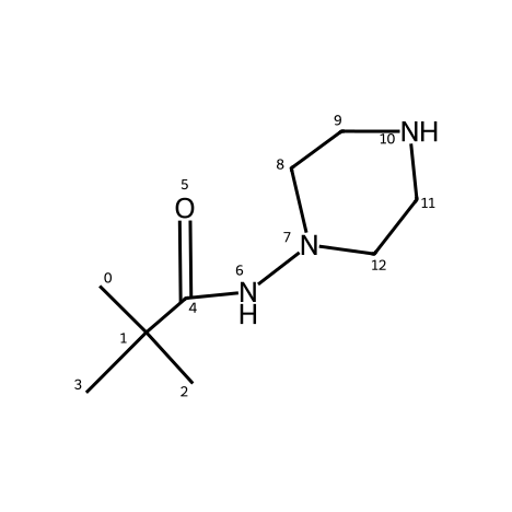 CC(C)(C)C(=O)NN1CCNCC1